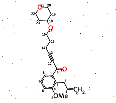 C=CCc1c(OC)cccc1C(=O)C#CCCCOC1CCOCC1